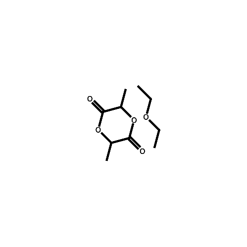 CC1OC(=O)C(C)OC1=O.CCOCC